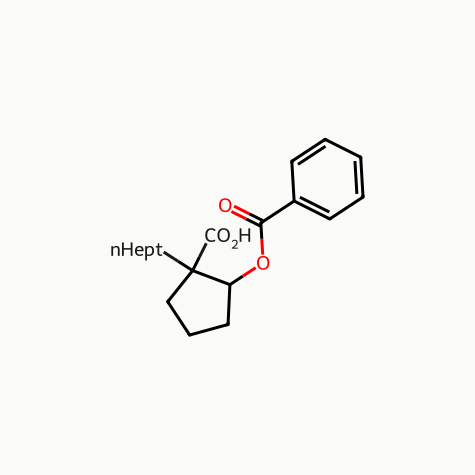 CCCCCCCC1(C(=O)O)CCCC1OC(=O)c1ccccc1